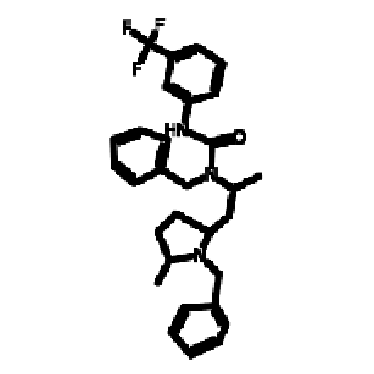 CC(CC1CCC(C)N1Cc1ccccc1)N(Cc1ccccc1)C(=O)Nc1cccc(C(F)(F)F)c1